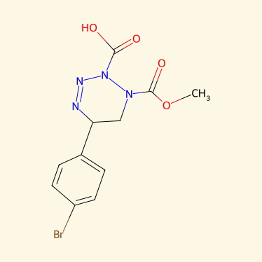 COC(=O)N1CC(c2ccc(Br)cc2)N=NN1C(=O)O